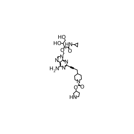 Nc1nc(C#CCC2CCN(C(=O)OC3CCNC3)CC2)nc2c1ncn2CO[C@H](C(=O)NC1CC1)C(O)CO